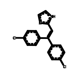 Clc1ccc(C(=Cc2ncc[nH]2)c2ccc(Cl)cc2)cc1